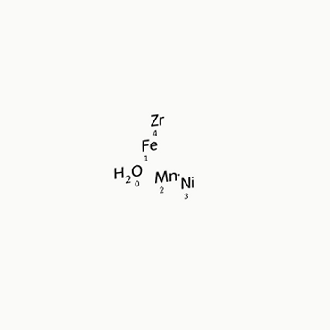 O.[Fe].[Mn].[Ni].[Zr]